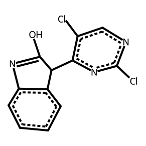 OC1=Nc2ccccc2C1c1nc(Cl)ncc1Cl